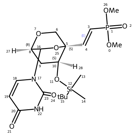 COP(=O)(/C=C/[C@]12CO[C@H](C[C@@H]1O[Si](C)(C)C(C)(C)C)C(n1ccc(=O)[nH]c1=O)O2)OC